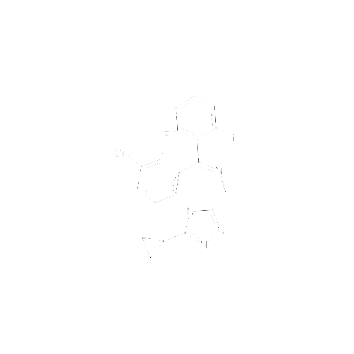 Fc1cccc(F)c1C1=NCc2nnc(C3CC3)n2-c2ccc(Br)c(Cl)c21